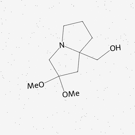 COC1(OC)CN2CCCC2(CO)C1